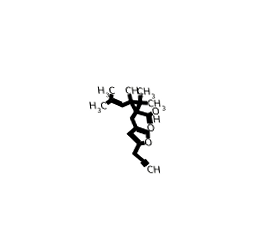 C#CCc1cc(CC2(C(=O)O)C(C)(C)C2(C)C=C(C)C)co1